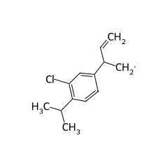 [CH2]C(C=C)c1ccc(C(C)C)c(Cl)c1